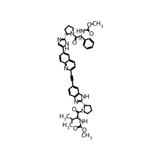 COC(=O)N[C@H](C(=O)N1CCC[C@H]1c1nc2ccc(C#Cc3ccc4cc(-c5cnc([C@@H]6CCCN6C(=O)[C@H](NC(=O)OC)c6ccccc6)[nH]5)ccc4n3)cc2[nH]1)C(C)C